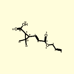 C=CCOC(=O)C=CC1C(C(=O)O)C1(C)C